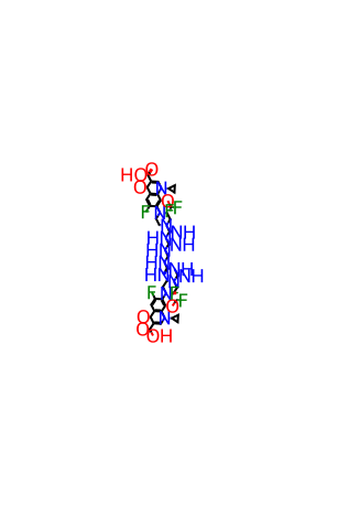 N=C(NCNC(=N)NC(=N)N1CCN(c2c(F)cc3c(=O)c(C(=O)O)cn(C4CC4)c3c2OC(F)F)CC1)NC(=N)N1CCN(c2c(F)cc3c(=O)c(C(=O)O)cn(C4CC4)c3c2OC(F)F)CC1